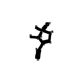 C#CC1=CSP(C)(=O)N1C